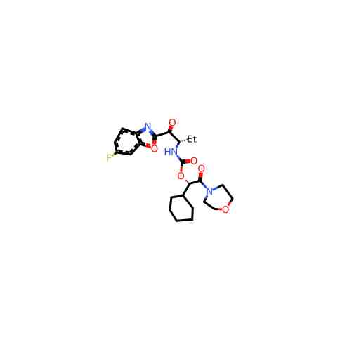 CC[C@H](NC(=O)O[C@H](C(=O)N1CCOCC1)C1CCCCC1)C(=O)c1nc2ccc(F)cc2o1